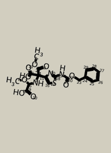 COC(=O)C(NC(OC)C(=O)O)(C(=O)O)c1csc(NC(=O)OCc2ccccc2)n1